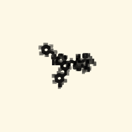 CC(C)C(NC(=O)Cn1cc(Cc2cccc(F)c2)cc(NC(=O)OCc2ccccc2)c1=O)C(O)C(F)(F)F